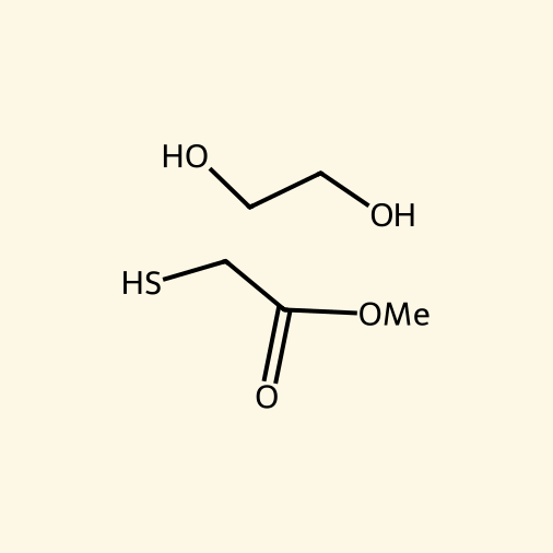 COC(=O)CS.OCCO